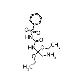 CCOC(CN)(NC(=O)NS(=O)(=O)c1ccccc1)OCC